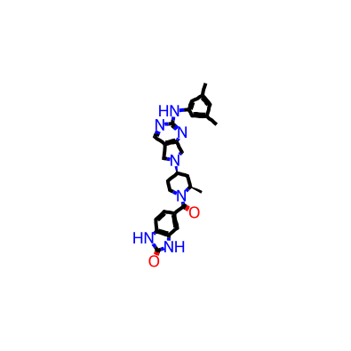 Cc1cc(C)cc(Nc2ncc3c(n2)CN([C@@H]2CCN(C(=O)c4ccc5[nH]c(=O)[nH]c5c4)[C@H](C)C2)C3)c1